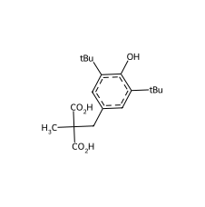 CC(Cc1cc(C(C)(C)C)c(O)c(C(C)(C)C)c1)(C(=O)O)C(=O)O